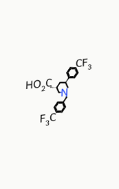 O=C(O)C[C@@H]1C[C@@H](c2ccc(C(F)(F)F)cc2)CN(Cc2ccc(C(F)(F)F)cc2)C1